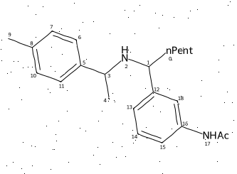 CCCCCC(NC(C)c1ccc(C)cc1)c1cccc(NC(C)=O)c1